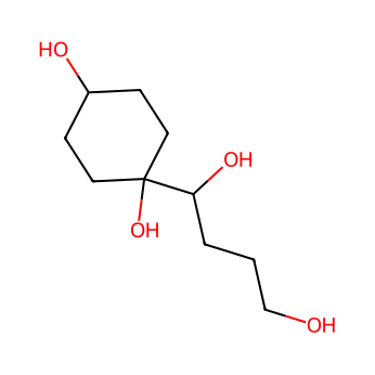 OCCCC(O)C1(O)CCC(O)CC1